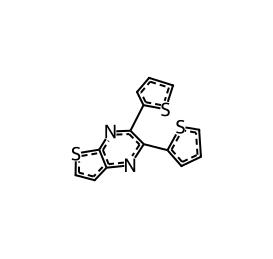 c1csc(-c2nc3ccsc3nc2-c2cccs2)c1